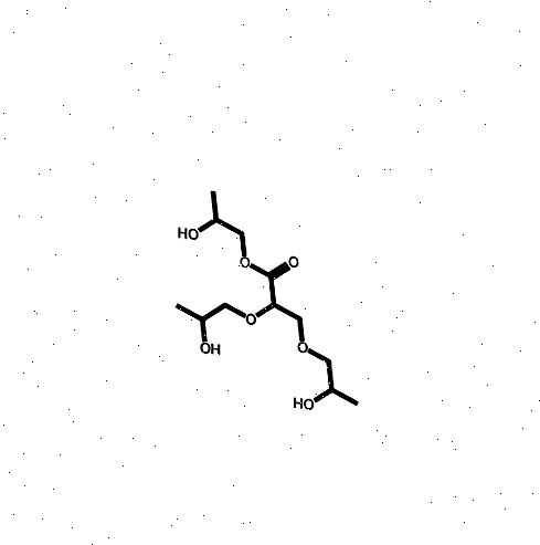 CC(O)COCC(OCC(C)O)C(=O)OCC(C)O